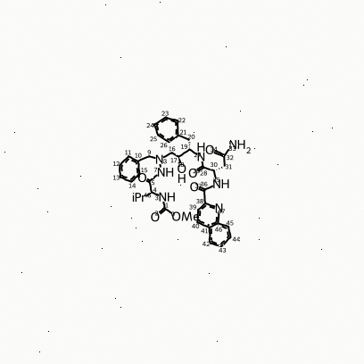 COC(=O)N[C@H](C(=O)NN(Cc1ccccc1)C[C@H](O)[C@H](Cc1ccccc1)NC(=O)[C@H](CC(N)=O)NC(=O)c1ccc2ccccc2n1)C(C)C